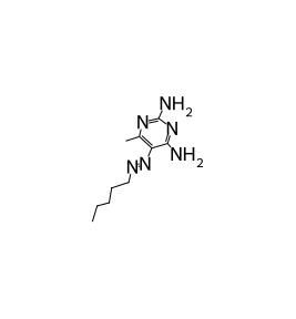 CCCCCN=Nc1c(C)nc(N)nc1N